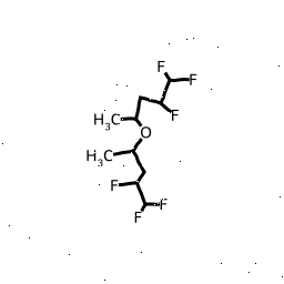 CC(CC(F)C(F)F)OC(C)CC(F)C(F)F